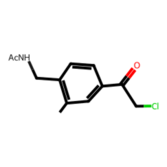 CC(=O)NCc1ccc(C(=O)CCl)cc1C